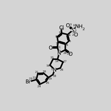 NS(=O)(=O)c1cc2c(cc1Cl)C(=O)N(C1CCN(Cc3ccc(Br)cc3)CC1)C2=O